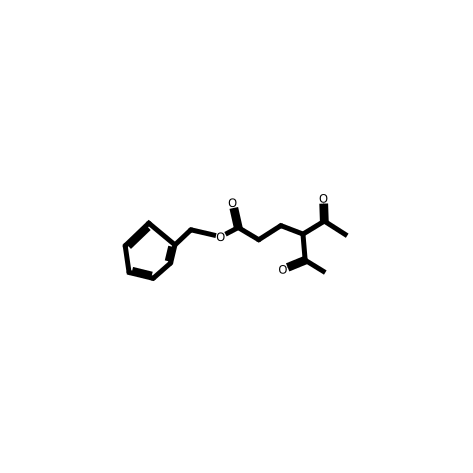 CC(=O)C(CCC(=O)OCc1ccccc1)C(C)=O